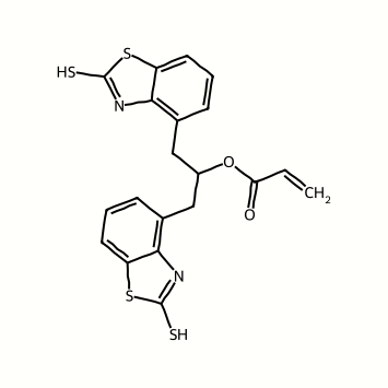 C=CC(=O)OC(Cc1cccc2sc(S)nc12)Cc1cccc2sc(S)nc12